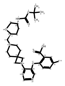 CC(C)(C)OC(=O)N[C@@H]1CC[C@@H](CN2CCC3(CC2)CN(c2ncncc2Oc2ccc(F)cc2C(=O)O)C3)OC1